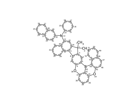 CC1(C)c2cc3c(cc2-c2c1cc(N(c1ccccc1)c1ccc4ccccc4c1)c1ccccc21)Oc1cccc2c1B3c1c(ccc3ccccc13)O2